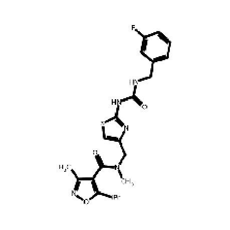 Cc1noc(C(C)C)c1C(=O)N(C)Cc1csc(NC(=O)NCc2cccc(F)c2)n1